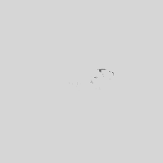 CCOC(=O)NC(=S)N1CCC2(CC1)NC(Cc1ccccc1)C(=O)N2OC(C)=O